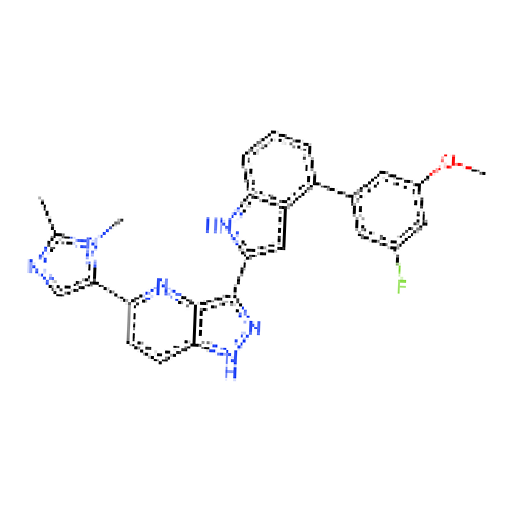 COc1cc(F)cc(-c2cccc3[nH]c(-c4n[nH]c5ccc(-c6cnc(C)n6C)nc45)cc23)c1